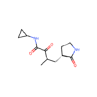 CC(C[C@@H]1CCNC1=O)C(=O)C(=O)NC1CC1